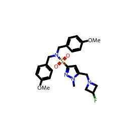 COc1ccc(CN(Cc2ccc(OC)cc2)S(=O)(=O)c2cc(CN3CC(F)C3)n(C)n2)cc1